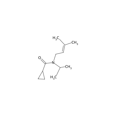 CC(C)=CCN(C(=O)C1CC1)C(C)C